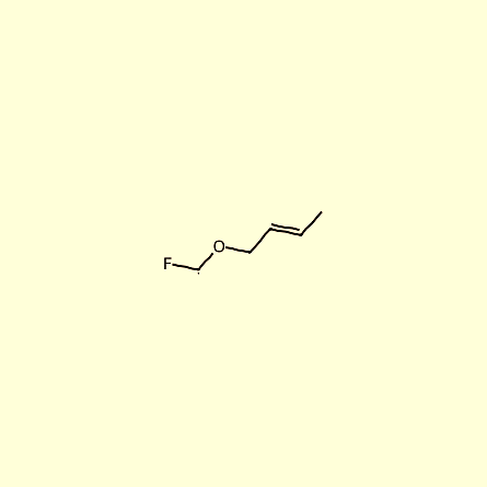 CC=CCO[CH]F